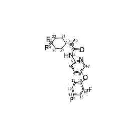 C[C@@H](C(=O)Nc1ccc(Oc2ccc(F)cc2F)cn1)C1CCC(F)(F)CC1